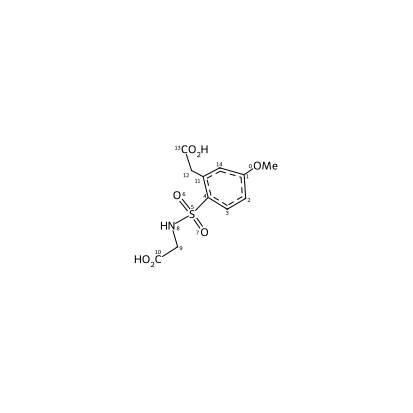 COc1ccc(S(=O)(=O)NCC(=O)O)c(CC(=O)O)c1